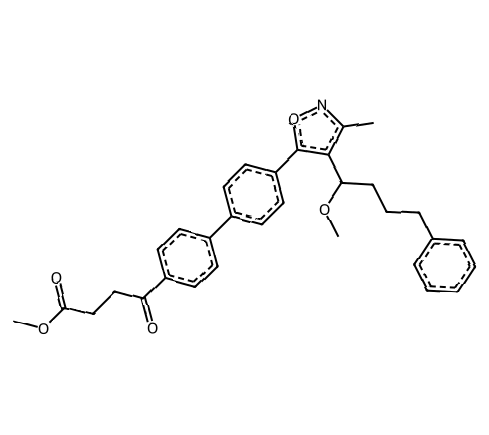 COC(=O)CCC(=O)c1ccc(-c2ccc(-c3onc(C)c3C(CCCc3ccccc3)OC)cc2)cc1